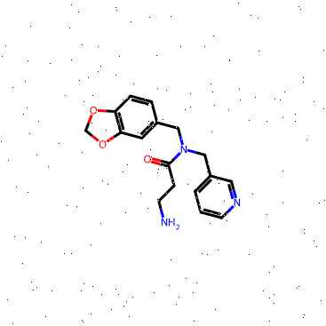 NCCC(=O)N(Cc1cccnc1)Cc1ccc2c(c1)OCO2